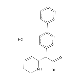 Cl.O=C(O)C(c1ccc(-c2ccccc2)cc1)[C@H]1C=CCCN1